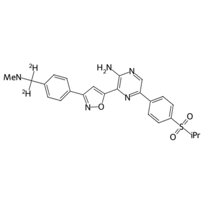 [2H]C([2H])(NC)c1ccc(-c2cc(-c3nc(-c4ccc(S(=O)(=O)C(C)C)cc4)cnc3N)on2)cc1